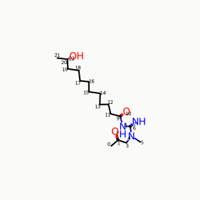 CC(=O)CN(C)C(=N)NC(=O)CCCCCCCCCC(C)O